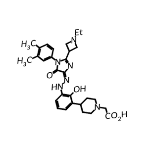 CCN1CC(C2=NC(=NNc3cccc(C4CCN(CC(=O)O)CC4)c3O)C(=O)N2c2ccc(C)c(C)c2)C1